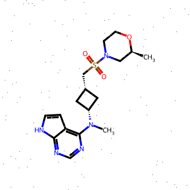 C[C@H]1CN(S(=O)(=O)C[C@H]2C[C@@H](N(C)c3ncnc4[nH]ccc34)C2)CCO1